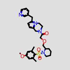 COc1cc(C)c(S(=O)(=O)N2CCCCC2COCC(=O)N2CCn3c(Cc4cccnc4)ccc3C2)c(C)c1